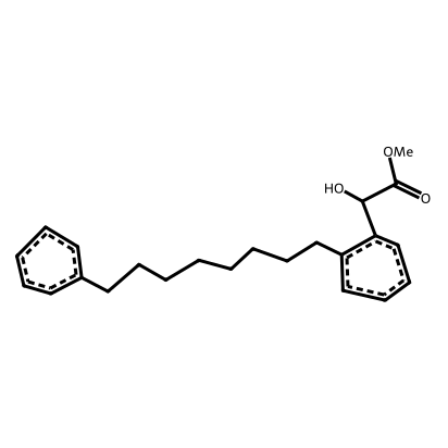 COC(=O)C(O)c1ccccc1CCCCCCCCc1ccccc1